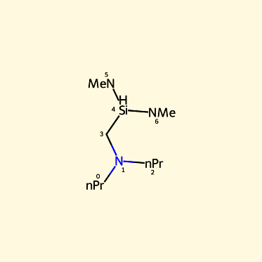 CCCN(CCC)C[SiH](NC)NC